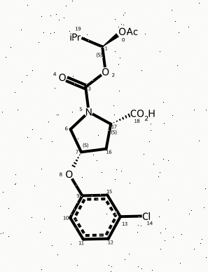 CC(=O)O[C@@H](OC(=O)N1C[C@@H](Oc2cccc(Cl)c2)C[C@H]1C(=O)O)C(C)C